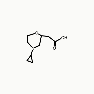 O=C(O)CC1CN(C2CC2)CCO1